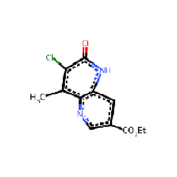 CCOC(=O)c1cnc2c(C)c(Cl)c(=O)[nH]c2c1